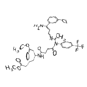 C=C(/N=C\C=C(/N)c1cccc(Cl)c1)N(C(=O)CCC(=O)NC(CCCC(=O)OC)CC(=O)OC)c1ccc(C(F)(F)F)cc1